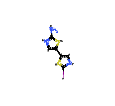 Nc1ncc(-c2cnc(I)s2)s1